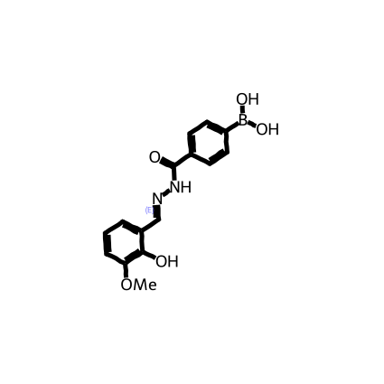 COc1cccc(/C=N/NC(=O)c2ccc(B(O)O)cc2)c1O